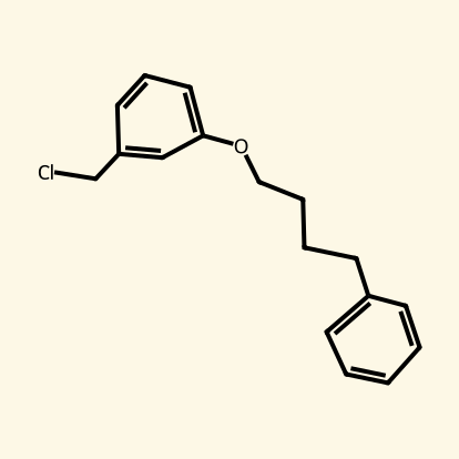 ClCc1cccc(OCCCCc2ccccc2)c1